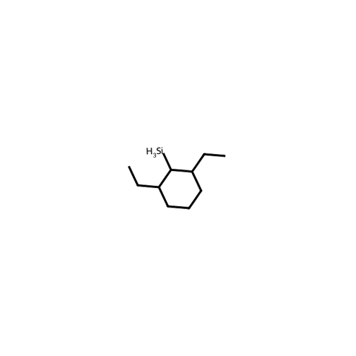 CCC1CCCC(CC)C1[SiH3]